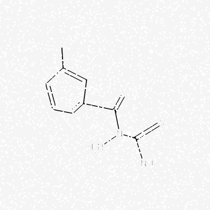 NC(=S)N(N)C(=O)c1cccc(F)c1